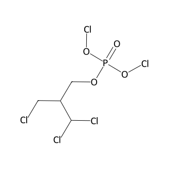 O=P(OCl)(OCl)OCC(CCl)C(Cl)Cl